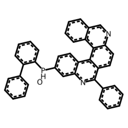 O=[PH](c1ccc2c(c1)nc(-c1ccccc1)c1ccc3ncc4ccccc4c3c12)c1ccccc1-c1ccccc1